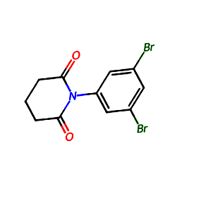 O=C1CCCC(=O)N1c1cc(Br)cc(Br)c1